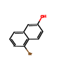 Oc1ccc2c(Br)[c]ccc2c1